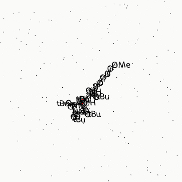 COCCOCCOCCOCCOCCOCCNC(=O)[C@H](CCCc1ccc(CC2CN(CC(=O)OC(C)(C)C)CCN(CC(=O)OC(C)(C)C)CCN(CC(=O)OC(C)(C)C)CCN2CC(=O)OC(C)(C)C)cc1)NC(=O)OC(C)(C)C